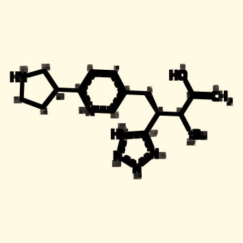 C=C(O)C([C@H](Cc1ccc(C2CCNC2)nc1)c1nnn[nH]1)C(C)(C)C